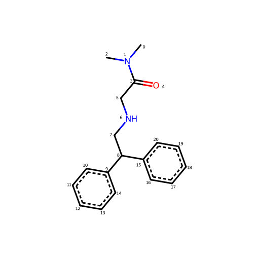 CN(C)C(=O)CNCC(c1ccccc1)c1ccccc1